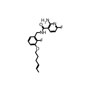 CC=CCCCOc1cccc(CNC(=O)c2ccc(F)nc2N)c1F